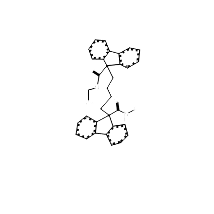 CCNC(=O)C1(CCCCC2(C(=O)NCC(F)(F)F)c3ccccc3-c3ccccc32)c2ccccc2-c2ccccc21